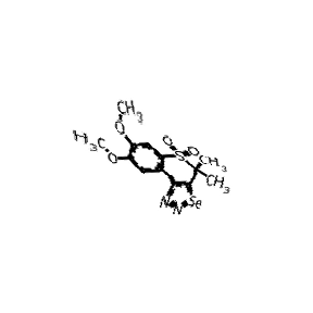 COc1cc2c(cc1OC)S(=O)(=O)C(C)(C)c1[se]nnc1-2